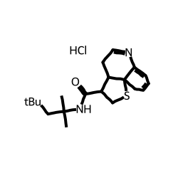 CC(C)(C)CC(C)(C)NC(=O)C1CSC23CC=CC=C2N=CCC13.Cl